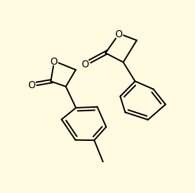 Cc1ccc(C2COC2=O)cc1.O=C1OCC1c1ccccc1